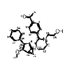 CC(=O)c1ccc(C2CNCCN2CCO)cc1.COc1c(-c2ccccc2)cc2cc1-2